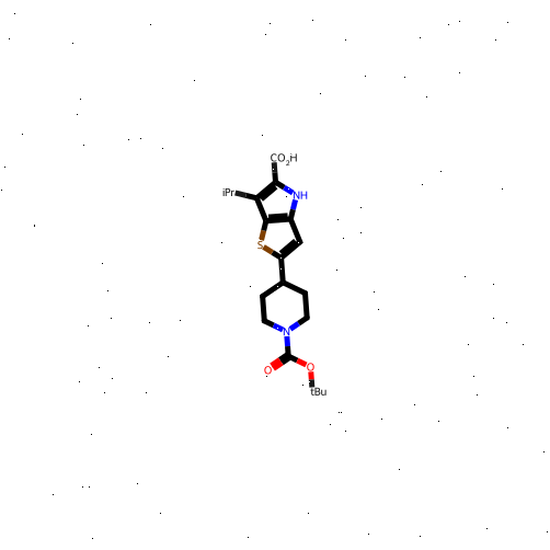 CC(C)c1c(C(=O)O)[nH]c2cc(C3CCN(C(=O)OC(C)(C)C)CC3)sc12